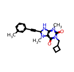 Cc1cccc(C#CC2Nc3c(c(=O)n(CC4CCC4)c(=O)n3C)N2C)c1